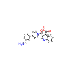 NCc1cccc(C2CCN(C(=O)c3cnc4ccccc4c3B(O)O)CC2)c1